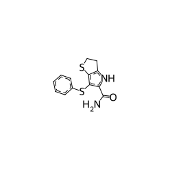 NC(=O)c1[nH]c2c(c1Sc1ccccc1)SCC2